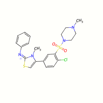 CN1CCN(S(=O)(=O)c2cc(-c3cs/c(=N/c4ccccc4)n3C)ccc2Cl)CC1